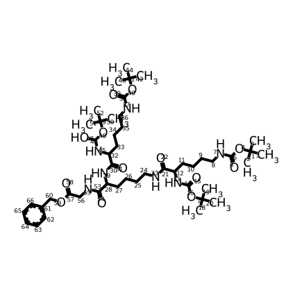 CC(C)(C)OC(=O)NCCCCC(NC(=O)OC(C)(C)C)C(=O)NCCCCC(NC(=O)C(CCCCNC(=O)OC(C)(C)C)NC(O)OC(C)(C)C)C(=O)NCC(=O)OCc1ccccc1